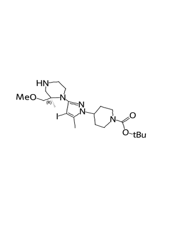 COC[C@@]1(C)CNCCN1c1nn(C2CCN(C(=O)OC(C)(C)C)CC2)c(C)c1I